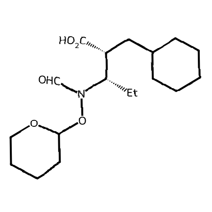 CC[C@@H]([C@@H](CC1CCCCC1)C(=O)O)N(C=O)OC1CCCCO1